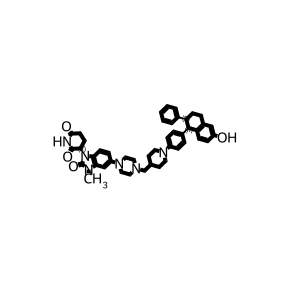 Cn1c(=O)n([C@@H]2CCC(=O)NC2=O)c2ccc(N3CCN(CC4CCN(c5ccc([C@@H]6c7ccc(O)cc7CC[C@@H]6c6ccccc6)cc5)CC4)CC3)cc21